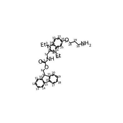 CCn1c(CNC(=O)OCC2c3ccccc3-c3ccccc32)[n+](CC)c2cc(OCCCN)ccc21